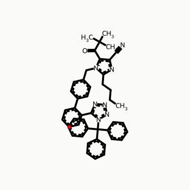 CCCCc1nc(C#N)c(C(=O)C(C)(C)C)n1Cc1ccc(-c2ccccc2-c2nnnn2C(c2ccccc2)(c2ccccc2)c2ccccc2)cc1